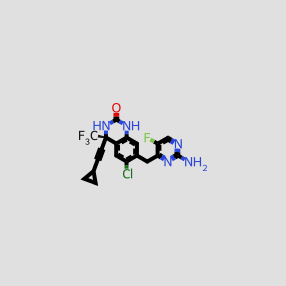 Nc1ncc(F)c(Cc2cc3c(cc2Cl)[C@@](C#CC2CC2)(C(F)(F)F)NC(=O)N3)n1